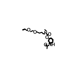 C=CCOCCOCCCCN(CC)C(=O)Oc1cccc(NC(C)=O)c1